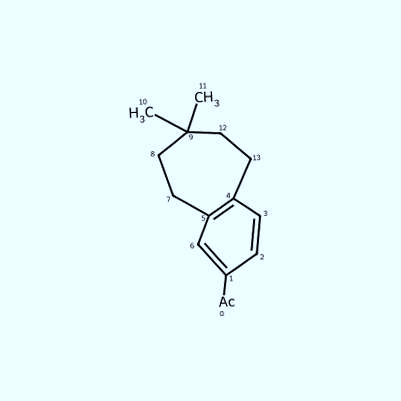 CC(=O)c1ccc2c(c1)CCC(C)(C)CC2